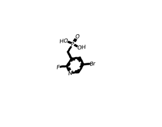 O=P(O)(O)Cc1cc(Br)cnc1F